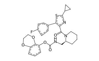 O=C(NC[C@@H]1CCCCN1C(=O)c1nc(C2CC2)sc1-c1ccc(F)cc1)Oc1cccc2c1OCCO2